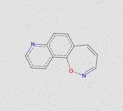 C1=Cc2ccc3ncccc3c2ON=C1